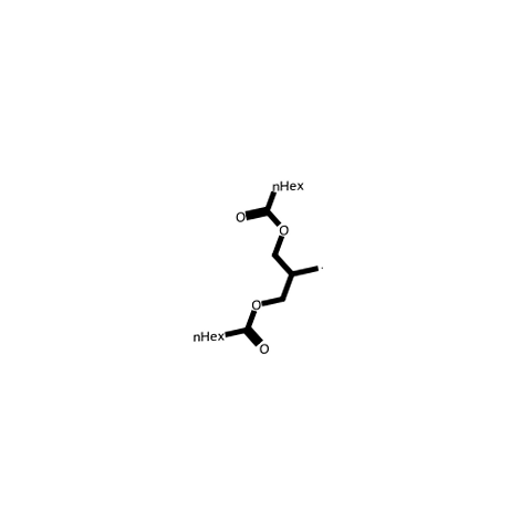 [CH2]C(COC(=O)CCCCCC)COC(=O)CCCCCC